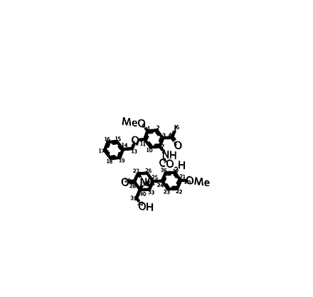 COc1cc(C(=O)I)c(NC(=O)O)cc1OCc1ccccc1.COc1ccc(C2CC3C(=O)C(CO)(C2)N3I)cc1